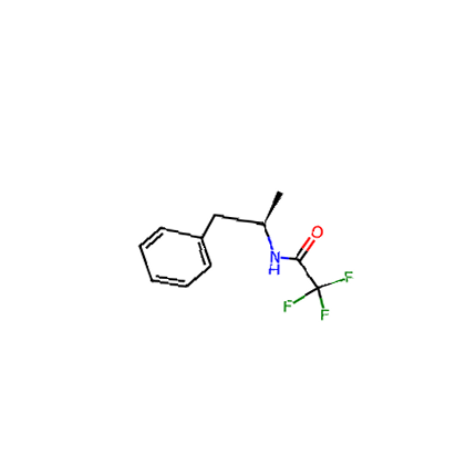 C[C@H](Cc1ccccc1)NC(=O)C(F)(F)F